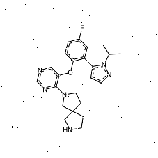 CC(C)n1nccc1-c1cc(F)ccc1Oc1cncnc1N1CCC2(CCNC2)C1